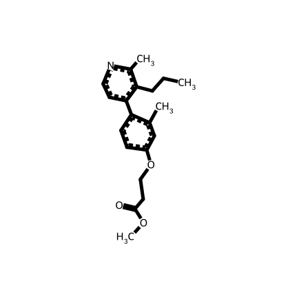 CCCc1c(-c2ccc(OCCC(=O)OC)cc2C)ccnc1C